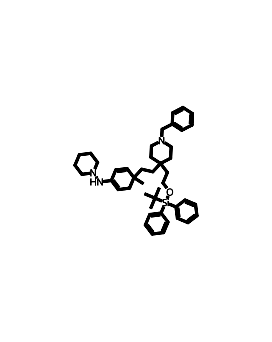 CC1(CCC2(CCO[Si](c3ccccc3)(c3ccccc3)C(C)(C)C)CCN(Cc3ccccc3)CC2)C=CC(NN2CCCCC2)=CC1